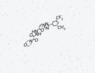 Cc1cc(-c2ncn(/C=C\C(=O)NNC(=O)C(=O)N3CCOCC3)n2)cc(C(F)(F)F)c1